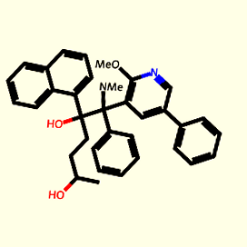 CNC(c1ccccc1)(c1cc(-c2ccccc2)cnc1OC)C(O)(CCC(C)O)c1cccc2ccccc12